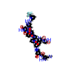 COc1cc2nn([C@H]3CC[C@H](CN4C5CCC4(C46CCC(CN(c7cccc8c7n(C)c(=O)n8C7CCC(=O)NC7=O)C4)N6C[C@H]4CC[C@H](n6cc7cc(NCc8cccc(C(F)(F)F)n8)ncc7n6)CC4)CN(c4cccc6c(N7CCC(=O)NC7=O)cncc46)C5)CC3)cc2cc1NC(=O)c1cncc(C#N)c1